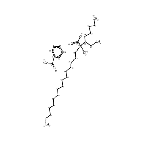 CCCCCCCCCCCCCCCCC(O)(C(=O)O)C(CC)CCCCC.O=C(O)c1ccccc1